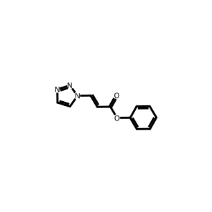 O=C(C=Cn1ccnn1)Oc1ccccc1